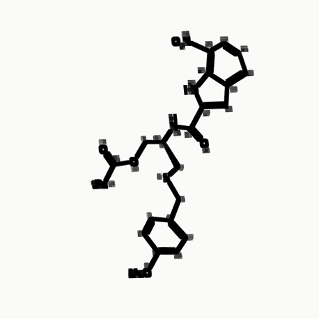 COc1ccc(CSC[C@@H](COC(=O)C(C)(C)C)NC(=O)c2cc3cccc([N+](=O)[O-])c3[nH]2)cc1